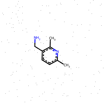 Cc1ccc(CN)c(C)n1